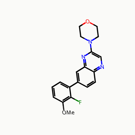 COc1cccc(-c2ccc3ncc(N4CCOCC4)nc3c2)c1F